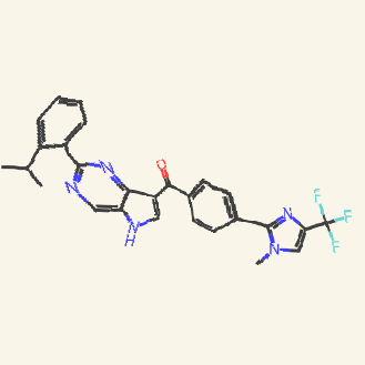 CC(C)c1ccccc1-c1ncc2[nH]cc(C(=O)c3ccc(-c4nc(C(F)(F)F)cn4C)cc3)c2n1